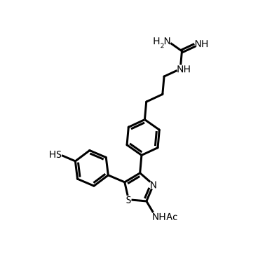 CC(=O)Nc1nc(-c2ccc(CCCNC(=N)N)cc2)c(-c2ccc(S)cc2)s1